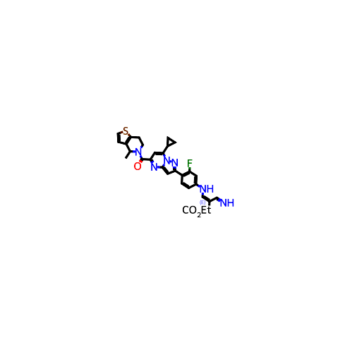 CCOC(=O)/C(C=N)=C/Nc1ccc(-c2cc3nc(C(=O)N4CCc5sccc5C4C)cc(C4CC4)n3n2)c(F)c1